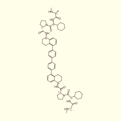 CN[C@@H](C)C(=O)N[C@H](C(=O)N1CCC[C@H]1C(=O)N[C@@H]1CCCc2c(-c3ccc(-c4ccc(-c5cccc6c5CCC[C@H]6NC(=O)[C@@H]5CCCN5C(=O)[C@@H](NC(=O)[C@H](C)NC)C5CCCCC5)cc4)cc3)cccc21)C1CCCCC1